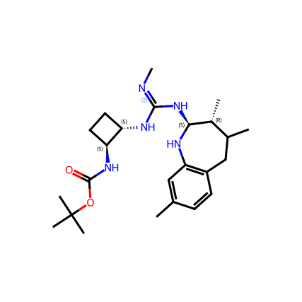 C/N=C(\N[C@@H]1Nc2cc(C)ccc2CC(C)[C@H]1C)N[C@H]1CC[C@@H]1NC(=O)OC(C)(C)C